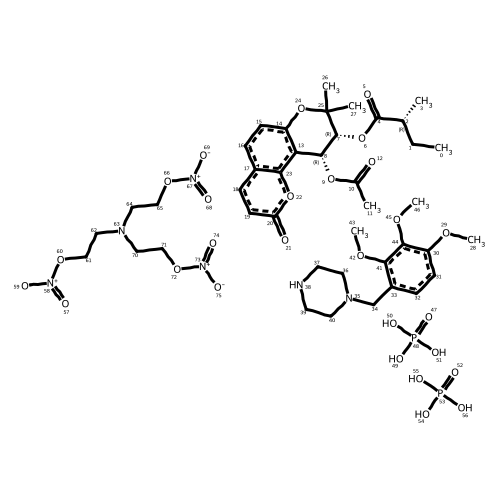 CC[C@@H](C)C(=O)O[C@@H]1[C@H](OC(C)=O)c2c(ccc3ccc(=O)oc23)OC1(C)C.COc1ccc(CN2CCNCC2)c(OC)c1OC.O=P(O)(O)O.O=P(O)(O)O.O=[N+]([O-])OCCN(CCO[N+](=O)[O-])CCO[N+](=O)[O-]